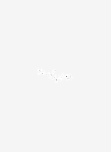 COc1cc(C(=O)N2CCC3(c4ccccn4)CC2C3)ccc1OCCOC(F)(F)F